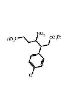 CCOC(=O)CC(c1ccc(Cl)cc1)C(CCC(=O)O)[N+](=O)[O-]